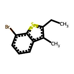 CCc1sc2c(Br)cccc2c1C